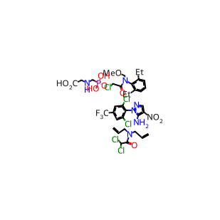 C=CCN(CC=C)C(=O)C(Cl)Cl.CCc1cccc(CC)c1N(COC)C(=O)CCl.Nc1c([N+](=O)[O-])cnn1-c1c(Cl)cc(C(F)(F)F)cc1Cl.O=C(O)CNCP(=O)(O)O